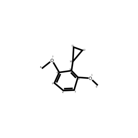 COc1cccc(OC)c1C1CC1